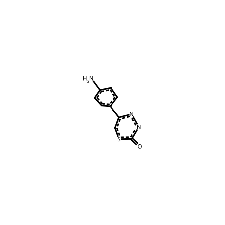 Nc1ccc(-c2csc(=O)nn2)cc1